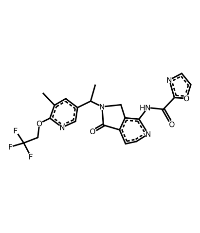 Cc1cc(C(C)N2Cc3c(ccnc3NC(=O)c3ncco3)C2=O)cnc1OCC(F)(F)F